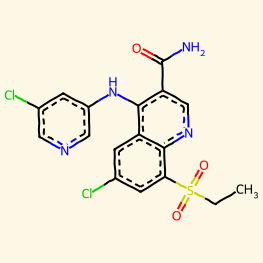 CCS(=O)(=O)c1cc(Cl)cc2c(Nc3cncc(Cl)c3)c(C(N)=O)cnc12